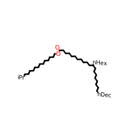 CCCCCCCCCCCCCCCCCCC(CCCCCC)CCCCCCCCCCC(=O)OCCCCCCCCCCCCCC(C)C